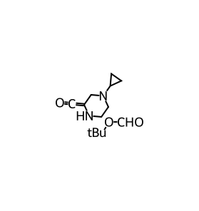 CC(C)(C)OC=O.O=C=C1CN(C2CC2)CCN1